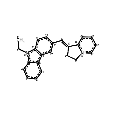 CCn1c2ccccc2c2cc(C=C3CC[n+]4ccccc43)ccc21